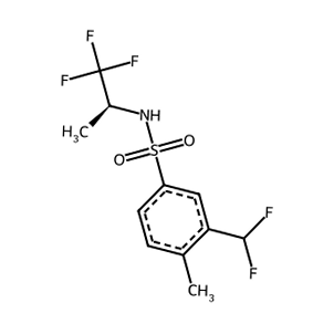 Cc1ccc(S(=O)(=O)N[C@@H](C)C(F)(F)F)cc1C(F)F